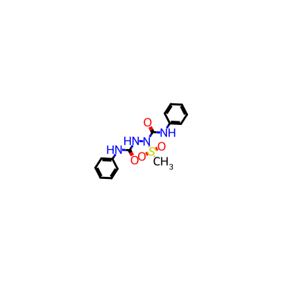 CS(=O)(=O)N(NC(=O)Nc1ccccc1)C(=O)Nc1ccccc1